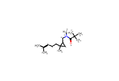 CC(C)=CCCC1(C)CC1CN(C)C(=O)C(C)(C)C